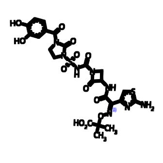 CC(C)(O/N=C(\C(=O)NC1CN(C(=O)NS(=O)(=O)N2CCN(C(=O)c3ccc(O)c(O)c3)C2=O)C1=O)c1csc(N)n1)C(=O)O